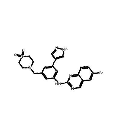 O=S1(=O)CCN(Cc2cc(Nc3ncc4cc(Br)ccc4n3)cc(-c3cn[nH]c3)c2)CC1